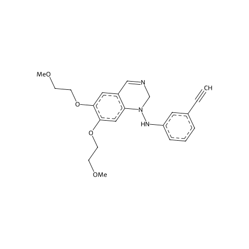 C#Cc1cccc(NN2CN=Cc3cc(OCCOC)c(OCCOC)cc32)c1